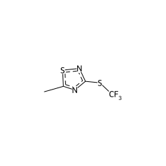 Cc1nc(SC(F)(F)F)ns1